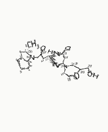 C[C@H]1Cc2ccccc2N1C(=O)Cc1nc(N2CCOC(CO)C2)cc(=O)[nH]1